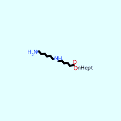 CCCCCCCOC(=O)CCCCCNCCCCCCN